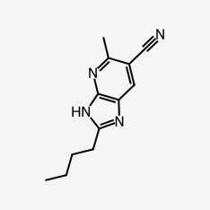 CCCCc1nc2cc(C#N)c(C)nc2[nH]1